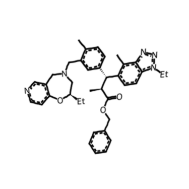 CC[C@@H]1CN(Cc2cc([C@H](c3ccc4c(nnn4CC)c3C)[C@H](C)C(=O)OCc3ccccc3)ccc2C)Cc2cnccc2O1